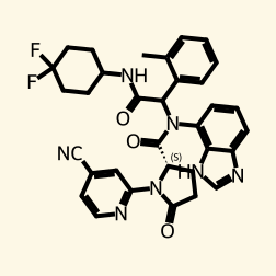 Cc1ccccc1C(C(=O)NC1CCC(F)(F)CC1)N(C(=O)[C@@H]1CCC(=O)N1c1cc(C#N)ccn1)c1cccc2nc[nH]c12